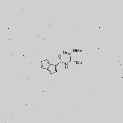 CNC(=O)[C@@H](NC(=O)C1=CC=C2C=CC=C21)C(C)(C)C